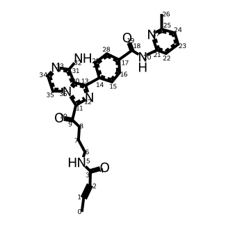 CC#CC(=O)NCCCC(=O)c1nc(-c2ccc(C(=O)Nc3cccc(C)n3)cc2)c2c(N)nccn12